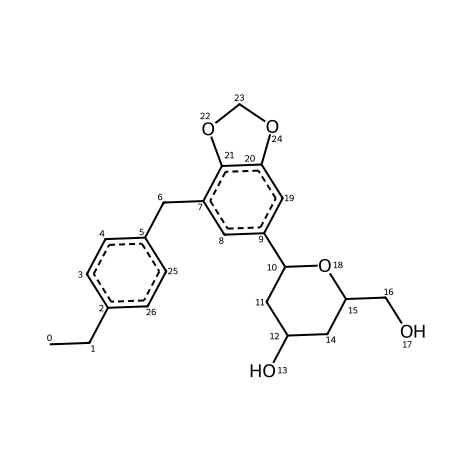 CCc1ccc(Cc2cc(C3CC(O)CC(CO)O3)cc3c2OCO3)cc1